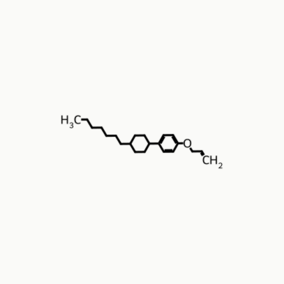 C=CCOc1ccc(C2CCC(CCCCCCC)CC2)cc1